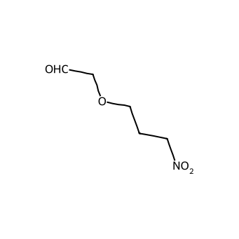 O=CCOCCC[N+](=O)[O-]